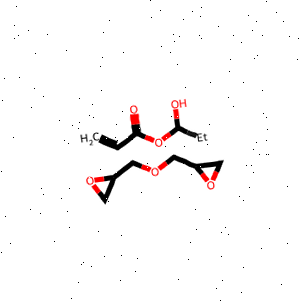 C(OCC1CO1)C1CO1.C=CC(=O)OC(O)CC